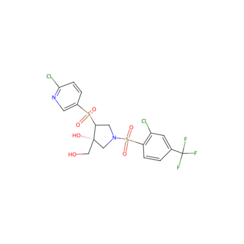 O=S(=O)(c1ccc(Cl)nc1)C1CN(S(=O)(=O)c2ccc(C(F)(F)F)cc2Cl)C[C@@]1(O)CO